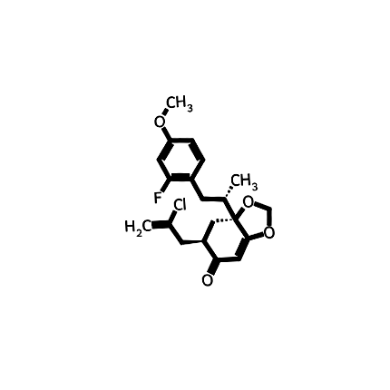 C=C(Cl)C[C@H]1C[C@]2([C@@H](C)Cc3ccc(OC)cc3F)OCOC2=CC1=O